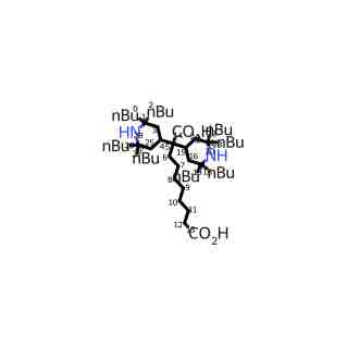 CCCCC1(CCCC)CC(C(CCCCCCCC(=O)O)(C(=O)O)C2CC(CCCC)(CCCC)NC(CCCC)(CCCC)C2)CC(CCCC)(CCCC)N1